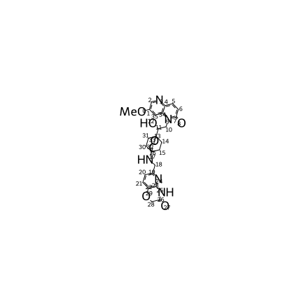 COc1cnc2ccc(=O)n(CC(O)C34CCC(NCc5ccc6c(n5)NC(=O)CO6)(CC3)CO4)c2c1